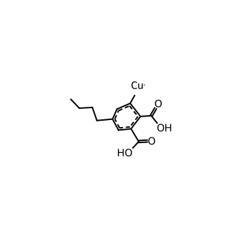 CCCCc1cc(C)c(C(=O)O)c(C(=O)O)c1.[Cu]